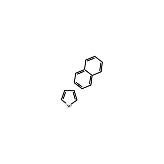 c1cc[se]c1.c1ccc2ccccc2c1